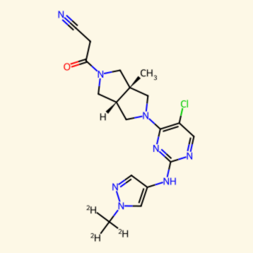 [2H]C([2H])([2H])n1cc(Nc2ncc(Cl)c(N3C[C@@H]4CN(C(=O)CC#N)C[C@]4(C)C3)n2)cn1